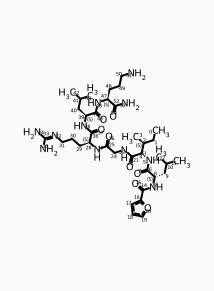 CC[C@H](C)[C@H](NC(=O)[C@H](CC(C)C)NC(=O)c1ccco1)C(=O)NCC(=O)N[C@@H](CCCN=C(N)N)C(=O)N[C@@H](CC(C)C)C(=O)N[C@@H](CCCN)C(N)=O